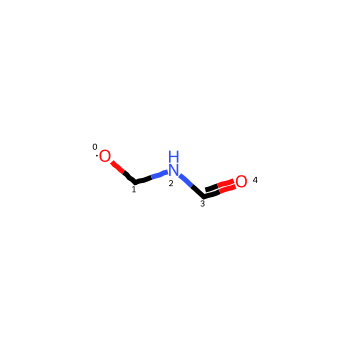 [O]CNC=O